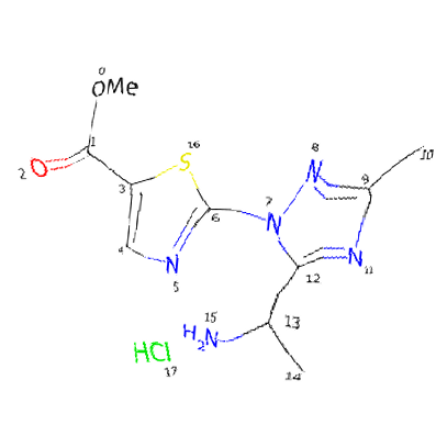 COC(=O)c1cnc(-n2nc(C)nc2C(C)N)s1.Cl